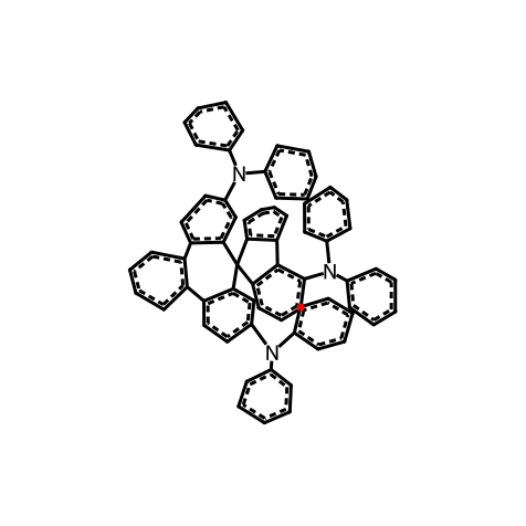 c1ccc(N(c2ccccc2)c2ccc3c(c2)C2(c4cc(N(c5ccccc5)c5ccccc5)ccc4-c4ccccc4-3)c3ccccc3-c3c(N(c4ccccc4)c4ccccc4)cccc32)cc1